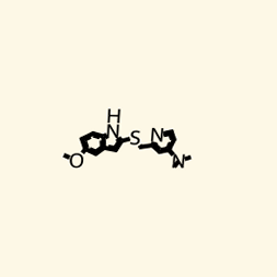 COc1ccc2[nH]c(SCc3cc(N(C)C)ccn3)cc2c1